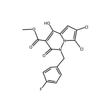 COC(=O)c1c(O)c2cc(Cl)c(Cl)n2n(Cc2ccc(F)cc2)c1=O